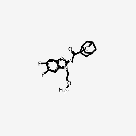 COCCn1/c(=N/C(=O)C23CC4CC(CC2C4)C3)sc2cc(F)c(F)cc21